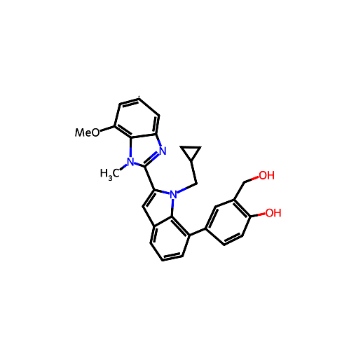 COc1c[c]cc2nc(-c3cc4cccc(-c5ccc(O)c(CO)c5)c4n3CC3CC3)n(C)c12